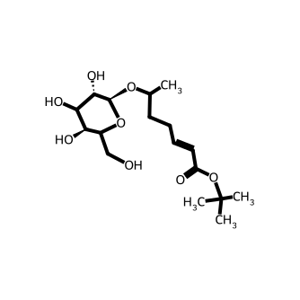 CC(CC/C=C/C(=O)OC(C)(C)C)O[C@H]1OC(CO)[C@@H](O)C(O)[C@@H]1O